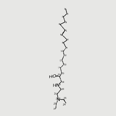 CCCCCCCCCCCCCCCCC(O)CNCCN(CC)CC